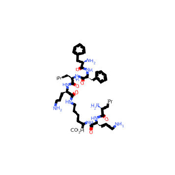 CC(C)C[C@@H](N)C(=O)N[C@H](CCCN)C(=O)NC(CCCCNC(=O)[C@@H](CCCN)NC(=O)[C@@H](CC(C)C)NC(=O)[C@@H](Cc1ccccc1)NC(=O)[C@H](N)Cc1ccccc1)C(=O)O